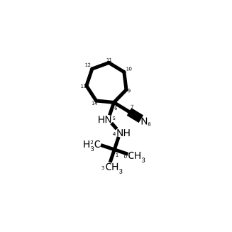 CC(C)(C)NNC1(C#N)CCCCCC1